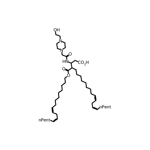 CCCCC/C=C\C/C=C\CCCCCCCCOC(=O)C(CCCCCCCC/C=C\C/C=C\CCCCC)C(CC(=O)O)NC(=O)CN1CCN(CCO)CC1